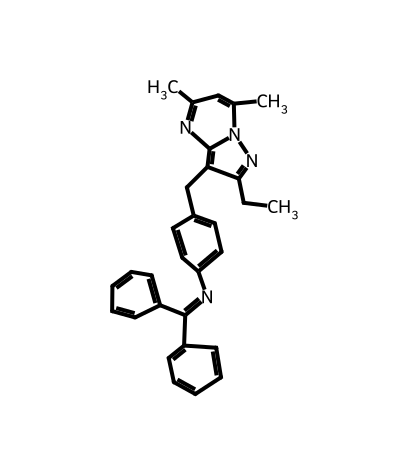 CCc1nn2c(C)cc(C)nc2c1Cc1ccc(N=C(c2ccccc2)c2ccccc2)cc1